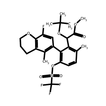 COC(=O)C(OC(C)(C)C)c1c(C)ccc(OS(=O)(=O)C(F)(F)F)c1-c1cc(F)c2c(c1C)CCCO2